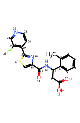 Cc1ccccc1C(CC(=O)O)NC(=O)c1csc(-c2ccncc2F)n1